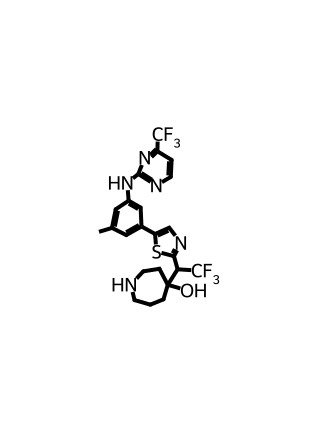 Cc1cc(Nc2nccc(C(F)(F)F)n2)cc(-c2cnc(C(C(F)(F)F)C3(O)CCCNCC3)s2)c1